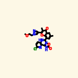 COCCn1cc(-c2oc3c(C(C)Nc4ccc(Cl)nc4-c4noc(=O)[nH]4)cc(C)cc3c(=O)c2C)cn1